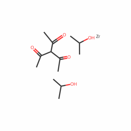 CC(=O)C(C(C)=O)C(C)=O.CC(C)O.CC(C)O.[Zr]